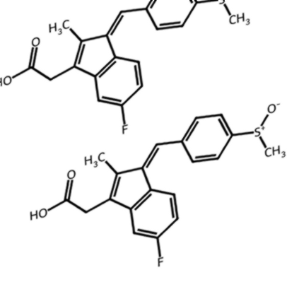 CC1=C(CC(=O)O)c2cc(F)ccc2/C1=C\c1ccc([S+](C)[O-])cc1.CC1=C(CC(=O)O)c2cc(F)ccc2/C1=C\c1ccc([S+](C)[O-])cc1